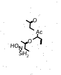 C=CC(C)C(C)=O.CCC(C)=O.CCC(C)=O.ON=[SiH2]